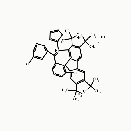 CC(C)(C)c1cc2c(cc1C(C)(C)C)-c1cc(C(C)(C)C)c(C(C)(C)C)[c]([Hf]([C]3=CC=CC3)=[C](c3cccc(Cl)c3)c3cccc(Cl)c3)c1C2.Cl.Cl